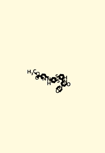 CCOC(=O)c1ccc(CNc2ccc3c(c2)Sc2cccc(-c4cc(N5CCOCC5)cc(=O)[nH]4)c2S3)nc1